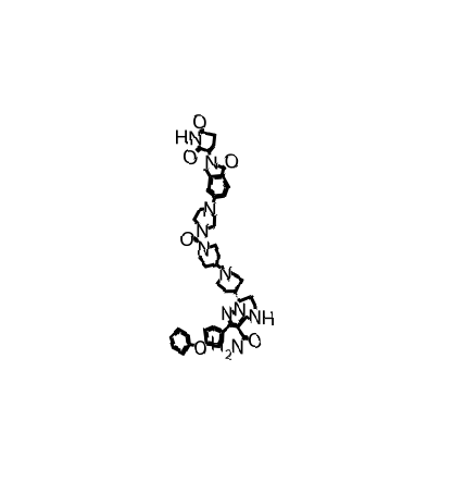 NC(=O)c1c(-c2ccc(Oc3ccccc3)cc2)nn2c1NCC[C@H]2C1CCN(C2CCN(C(=O)N3CCN(c4ccc5c(c4)CN(C4CCC(=O)NC4=O)C5=O)CC3)CC2)CC1